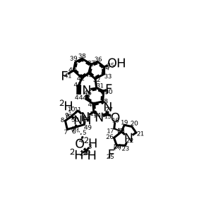 [2H]C([2H])([2H])OC[C@@]12CC[C@@]([2H])(CN(c3nc(OC[C@@]45CCCN4C[C@H](F)C5)nc4c(F)c(-c5cc(O)cc6ccc(F)c(C#C)c56)ncc34)C1)N2